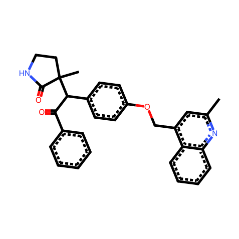 Cc1cc(COc2ccc(C(C(=O)c3ccccc3)C3(C)CCNC3=O)cc2)c2ccccc2n1